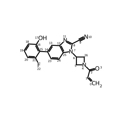 C=CC(=O)N1CC(n2c(C#N)nc3cc(-c4c(O)cccc4F)ccc32)C1